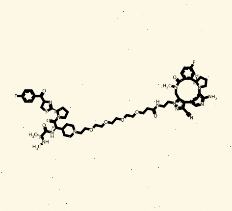 CN[C@H](C)C(=O)N[C@@H](C(=O)N1CCC[C@@H]1C1=NC(C(=O)c2ccc(F)cc2)CS1)C1CCN(CCOCCOCCOCCOCCC(=O)NCCn2nc(C#N)c3c2CN(C)C(=O)c2ccc(F)cc2[C@H]2CCCN2c2cc-3cnc2N)CC1